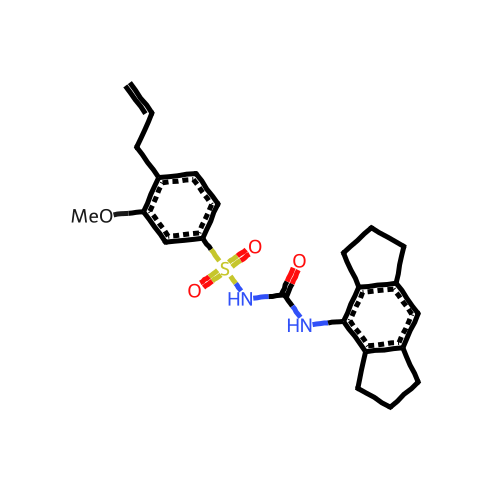 C=CCc1ccc(S(=O)(=O)NC(=O)Nc2c3c(cc4c2CCC4)CCC3)cc1OC